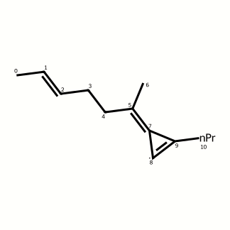 CC=CCCC(C)=C1[C]=C1CCC